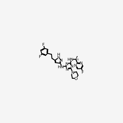 C[C@H](Nc1nc(Nc2cc(CCc3cc(F)cc(F)c3)[nH]n2)nc(N2CCOCC2)n1)c1ncc(F)cn1